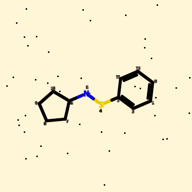 c1ccc(S[N]C2CCCC2)cc1